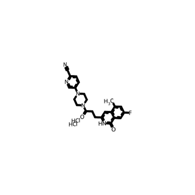 Cc1cc(F)cc2c(=O)[nH]c(CCC(=O)N3CCN(c4ccc(C#N)nc4)CC3)cc12.Cl.Cl